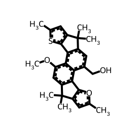 COc1cc2c(c3c(CO)cc4c(c13)-c1sc(C)cc1C4(C)C)-c1oc(C)cc1C2(C)C